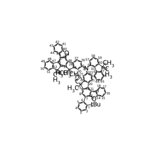 CC(C)(C)c1ccccc1-c1cc2c(c3c1oc1ccccc13)-c1ccc(N(c3ccc4c(c3)C(C)(C)c3c5c(c6c(oc7ccccc76)c3-4)-c3ccccc3C5(C)C)c3cccc4c3-c3ccccc3C4(C)C)cc1C2(C)C